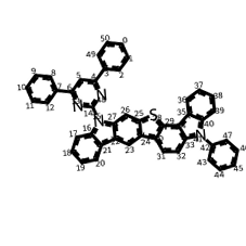 c1ccc(-c2cc(-c3ccccc3)nc(-n3c4ccccc4c4cc5c(cc43)sc3c5ccc4c3c3ccccc3n4-c3ccccc3)n2)cc1